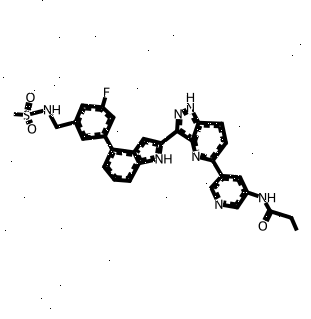 CCC(=O)Nc1cncc(-c2ccc3[nH]nc(-c4cc5c(-c6cc(F)cc(CNS(C)(=O)=O)c6)cccc5[nH]4)c3n2)c1